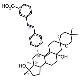 CC1(C)COC2(CCC3=C4C(CCC3(O)C2)C2CC[C@](C)(O)[C@@]2(C)C[C@@H]4c2ccc(/C=C/c3cccc(C(=O)O)c3)cc2)OC1